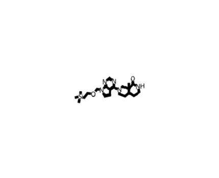 CC12CN(c3ncnc4c3ccn4COCC[Si](C)(C)C)CCC1CCNC2=O